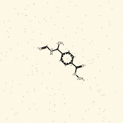 COC(=O)c1ccc(C(C)NC=O)cc1